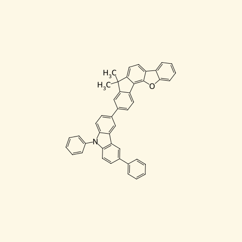 CC1(C)c2cc(-c3ccc4c(c3)c3cc(-c5ccccc5)ccc3n4-c3ccccc3)ccc2-c2c1ccc1c2oc2ccccc21